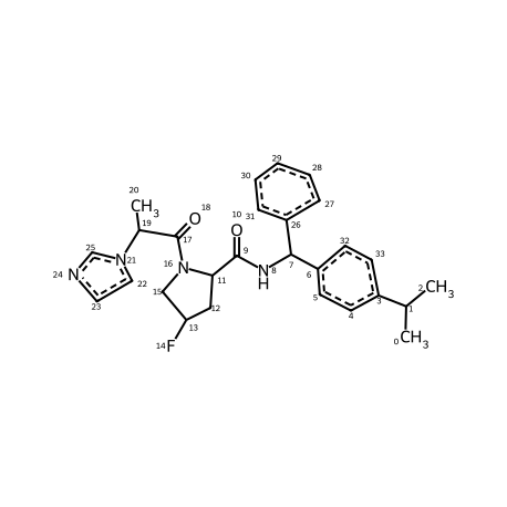 CC(C)c1ccc(C(NC(=O)C2CC(F)CN2C(=O)C(C)n2ccnc2)c2ccccc2)cc1